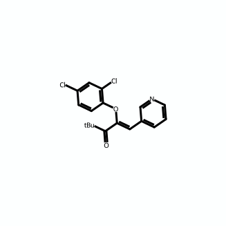 CC(C)(C)C(=O)C(=Cc1cccnc1)Oc1ccc(Cl)cc1Cl